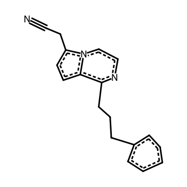 N#CCc1ccc2c(CCCc3ccccc3)nccn12